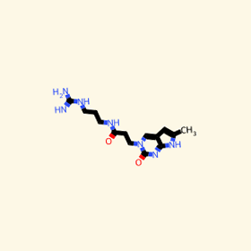 Cc1cc2cn(CCC(=O)NCCCNC(=N)N)c(=O)nc2[nH]1